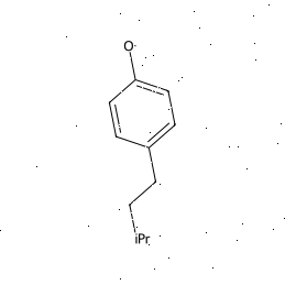 CC(C)CCc1ccc([O])cc1